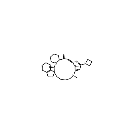 C=C1/C=C2/N=C(N3CCC3)C=C(N(C)CCCCC3(CCC4=C3CCC=C4)C(=C)N3CCCCC13)N2C